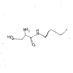 CCCCNC(=O)C(N)CO